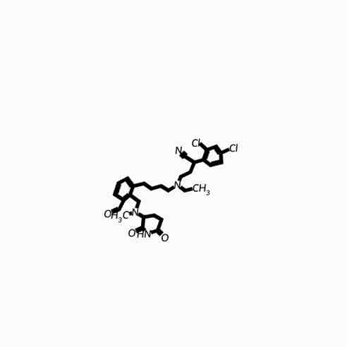 CCN(CCCCc1cccc(C=O)c1CN(C)C1CCC(=O)NC1=O)CCC(C#N)c1ccc(Cl)cc1Cl